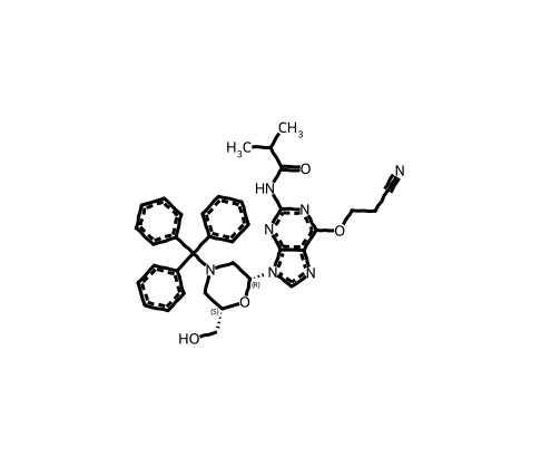 CC(C)C(=O)Nc1nc(OCCC#N)c2ncn([C@H]3CN(C(c4ccccc4)(c4ccccc4)c4ccccc4)C[C@@H](CO)O3)c2n1